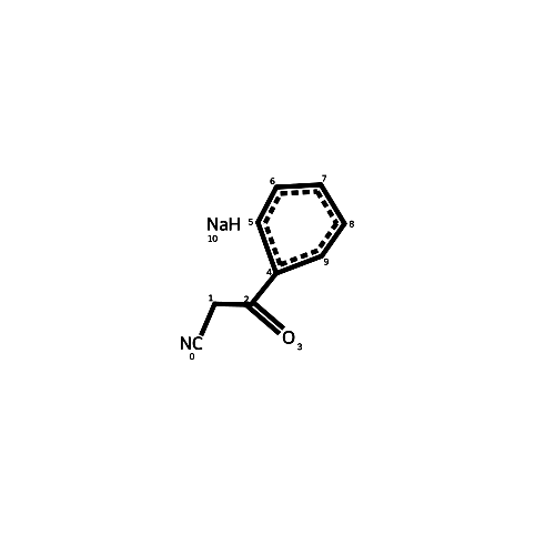 N#CCC(=O)c1ccccc1.[NaH]